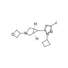 Ic1cc(C2[C@H]3CN(C4COC4)C[C@@H]23)n(C2CCC2)n1